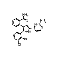 NC(=O)c1ccccc1-c1cc(-c2ccnc(N)n2)[nH]c1-c1cccc(Cl)c1Br